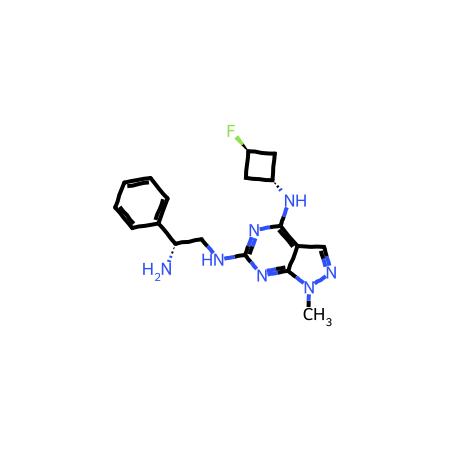 Cn1ncc2c(N[C@H]3C[C@H](F)C3)nc(NC[C@H](N)c3ccccc3)nc21